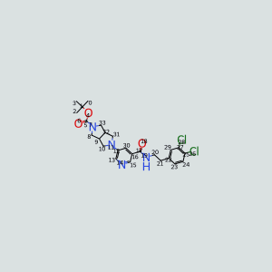 CC(C)(C)OC(=O)N1CC2CN(c3cncc(C(=O)NCCc4ccc(Cl)c(Cl)c4)c3)CC2C1